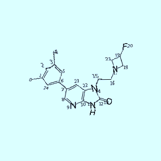 Cc1cc(C)cc(-c2cnc3[nH]c(=O)n(CCN4CC(F)C4)c3c2)c1